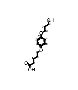 O=C(O)CCCCOc1ccc(OCCCO)cc1